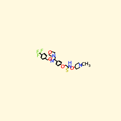 CN1CCC(ONC(=S)COc2ccc(/C(CN3CCOCC3)=N/OCc3ccc(C(F)(F)F)cc3)cc2)CC1